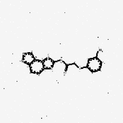 Cc1cccc(NCC(=O)Nc2nc3ccc4[nH]ncc4c3s2)c1